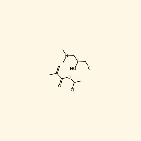 C=C(C)C(=O)OC(C)Cl.CN(C)CC(O)CCl